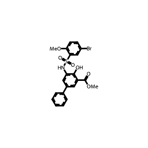 COC(=O)c1cc(-c2ccccc2)cc(NS(=O)(=O)c2cc(Br)ccc2OC)c1O